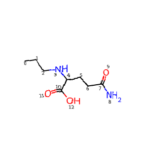 CCCNC(CCC(N)=O)C(=O)O